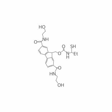 CCC(S)NC(=O)OCC1c2cc(C(=O)NCCO)ccc2-c2ccc(C(=O)NCCO)cc21